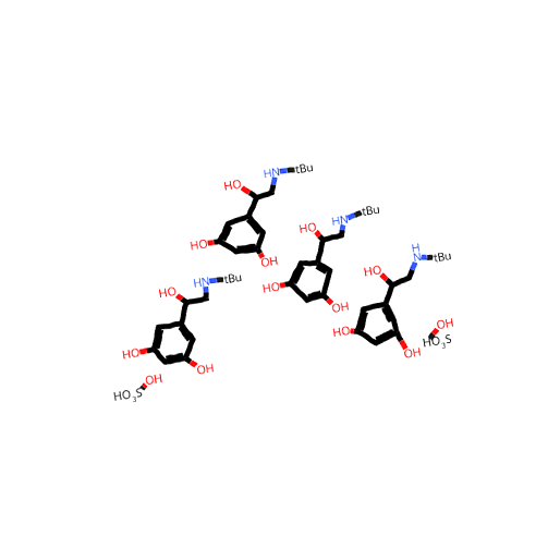 CC(C)(C)NCC(O)c1cc(O)cc(O)c1.CC(C)(C)NCC(O)c1cc(O)cc(O)c1.CC(C)(C)NCC(O)c1cc(O)cc(O)c1.CC(C)(C)NCC(O)c1cc(O)cc(O)c1.O=S(=O)(O)O.O=S(=O)(O)O